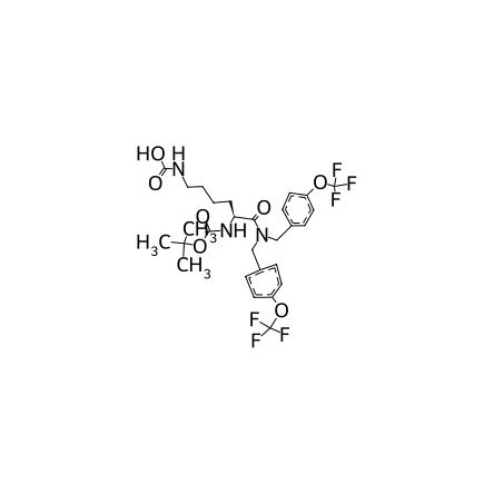 CC(C)(C)OC(=O)N[C@@H](CCCCNC(=O)O)C(=O)N(Cc1ccc(OC(F)(F)F)cc1)Cc1ccc(OC(F)(F)F)cc1